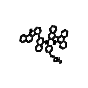 C/C=C/c1ccc(N(c2cc(-c3cccc4sc5c6ccccc6ccc5c34)cc3ccccc23)c2cc3ccccc3c3c2sc2c4ccccc4c4ccccc4c23)cc1